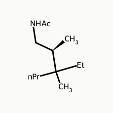 CCCC(C)(CC)[C@H](C)CNC(C)=O